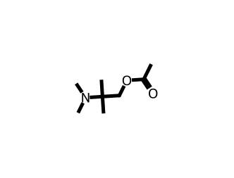 CC(=O)OCC(C)(C)N(C)C